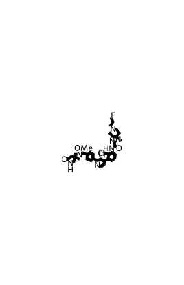 COc1cc(-c2nccc(-c3cccc(NC(=O)c4nc5c(n4C)CCN(CCCF)C5)c3Cl)c2Cl)ccc1CN1CC2(CNC(=O)C2)C1